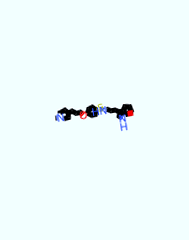 CN1CCC(CCCOc2ccc(SNCCCc3c[nH]c4ccccc34)cc2)CC1